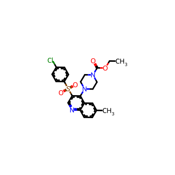 CCOC(=O)N1CCN(c2c(S(=O)(=O)c3ccc(Cl)cc3)cnc3ccc(C)cc23)CC1